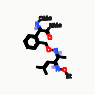 CCO/N=C(C=C(C)C)\C(C)=N/OCc1ccccc1/C(=N/OC)C(=O)NC